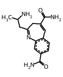 CC(N)CC1=Nc2cc(C(N)=O)ccc2C=C(C(N)=O)C1